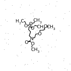 CCOC(=O)N(CCC[Si](OCC)(OCC)OCC)CCOCCOC